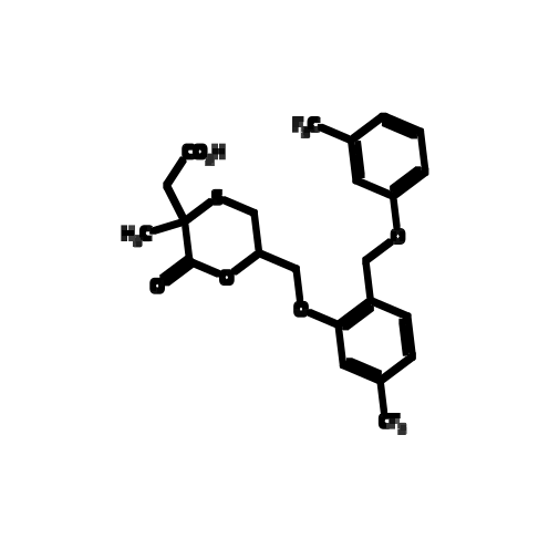 CC1(CC(=O)O)SCC(COc2cc(C(F)(F)F)ccc2COc2cccc(C(F)(F)F)c2)OC1=O